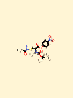 CC(=O)NSC[C@@H](C(=O)Oc1ccc([N+](=O)[O-])cc1)N(C)C(=O)OC(C)(C)C